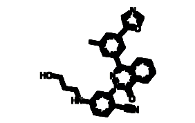 Cc1cc(-c2cnco2)cc(-c2nn(-c3cc(NCCCO)ccc3C#N)c(=O)c3ccccc23)c1